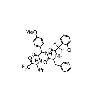 COc1ccc(C(NC(=O)C(Cc2cccnc2)NC(=O)C(F)(F)c2ccccc2Cl)C(=O)NC(C(=O)C(F)(F)F)C(C)C)cc1